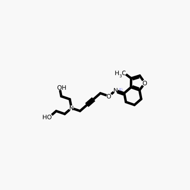 Cc1coc2c1/C(=N/OCC#CCN(CCO)CCO)CCC2